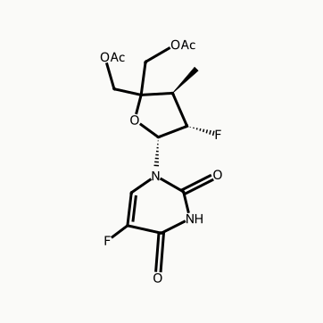 CC(=O)OCC1(COC(C)=O)O[C@@H](n2cc(F)c(=O)[nH]c2=O)[C@@H](F)[C@@H]1C